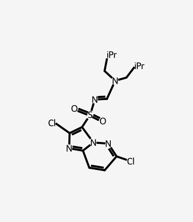 CC(C)CN(C=NS(=O)(=O)c1c(Cl)nc2ccc(Cl)nn12)CC(C)C